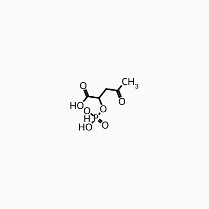 CC(=O)CC(OP(=O)(O)O)C(=O)O